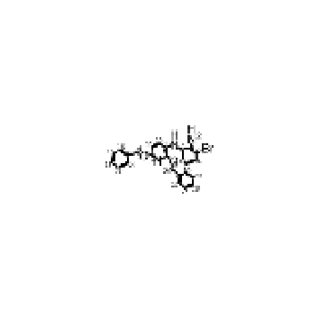 Nc1c(Br)cccc1Nc1ccc(OCc2ccccc2)nc1OCc1ccccc1